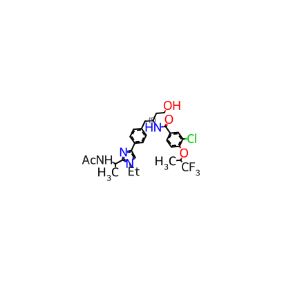 CCn1cc(-c2ccc(C[C@@H](CCO)NC(=O)c3ccc(OC(C)C(F)(F)F)c(Cl)c3)cc2)nc1C(C)NC(C)=O